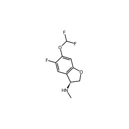 CN[C@@H]1COc2cc(OC(F)F)c(F)cc21